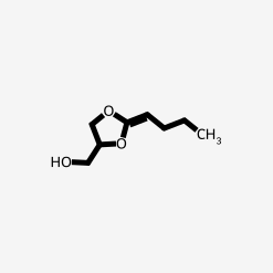 CCCC=C1OCC(CO)O1